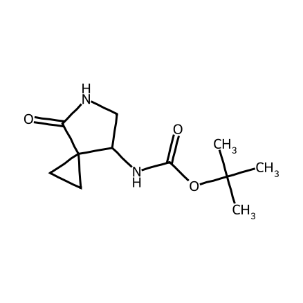 CC(C)(C)OC(=O)NC1CNC(=O)C12CC2